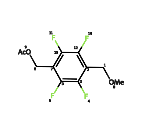 COCc1c(F)c(F)c(COC(C)=O)c(F)c1F